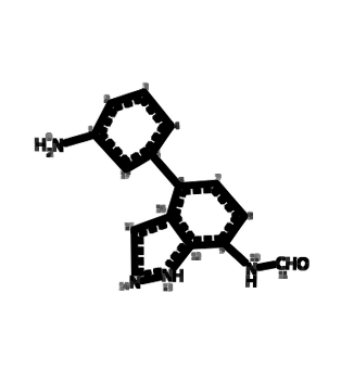 Nc1cccc(-c2ccc(NC=O)c3[nH]ncc23)c1